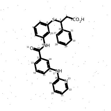 O=C(O)CC(Sc1cccc(NC(=O)c2cccc(Nc3ccccn3)c2)c1)c1ccccc1